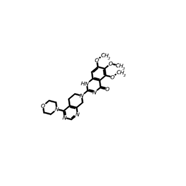 COc1cc2[nH]c(N3CCc4c(ncnc4N4CCOCC4)C3)nc(=O)c2c(OC)c1OC